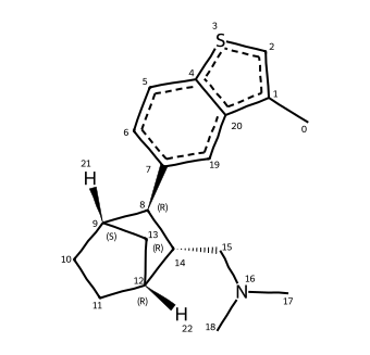 Cc1csc2ccc([C@@H]3[C@H]4CC[C@H](C4)[C@H]3CN(C)C)cc12